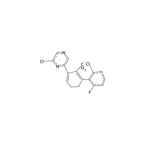 CC1=C(c2c(F)cccc2Cl)C[CH]C=C1c1cncc(Cl)n1